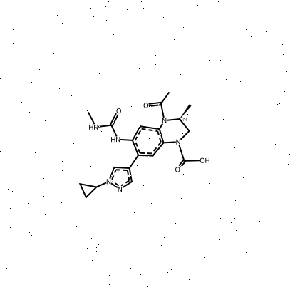 CNC(=O)Nc1cc2c(cc1-c1cnn(C3CC3)c1)N(C(=O)O)C[C@H](C)N2C(C)=O